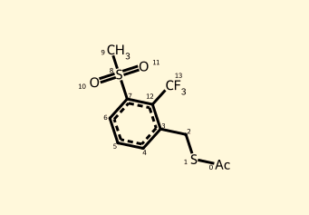 CC(=O)SCc1cccc(S(C)(=O)=O)c1C(F)(F)F